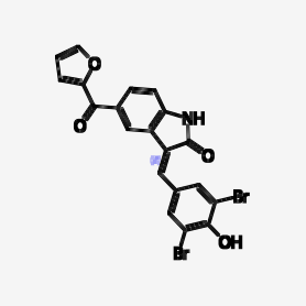 O=C1Nc2ccc(C(=O)c3ccco3)cc2/C1=C/c1cc(Br)c(O)c(Br)c1